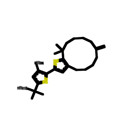 C=C1CCCCc2cc(-c3sc(C(C)(C)CCCCC)cc3CCCCCC)sc2C(C)(C)CCCC1